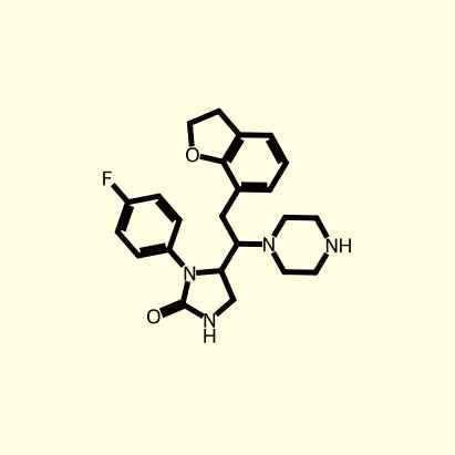 O=C1NCC(C(Cc2cccc3c2OCC3)N2CCNCC2)N1c1ccc(F)cc1